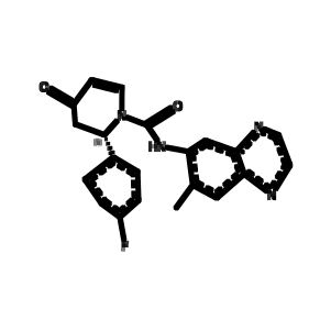 Cc1cc2nccnc2cc1NC(=O)N1C=CC(=O)C[C@H]1c1ccc(F)cc1